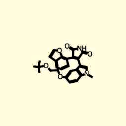 Cn1cc(C2=C(c3cccc4ccoc34)C(=O)NC2=O)c2cc(OCCOC(C)(C)C)ccc21